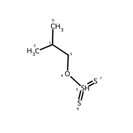 CC(C)CO[SH](=S)=S